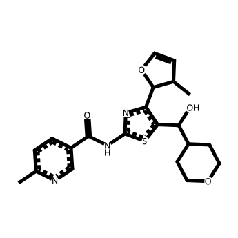 Cc1ccc(C(=O)Nc2nc(C3OC=CC3C)c(C(O)C3CCOCC3)s2)cn1